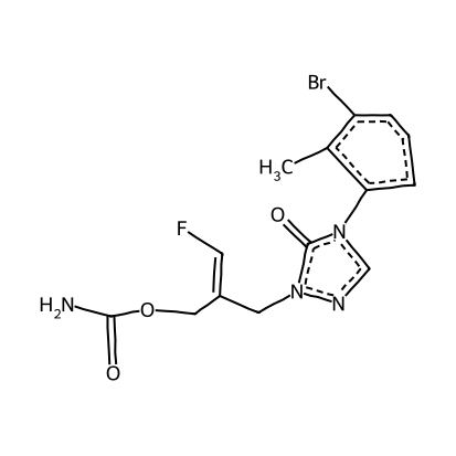 Cc1c(Br)cccc1-n1cnn(CC(=CF)COC(N)=O)c1=O